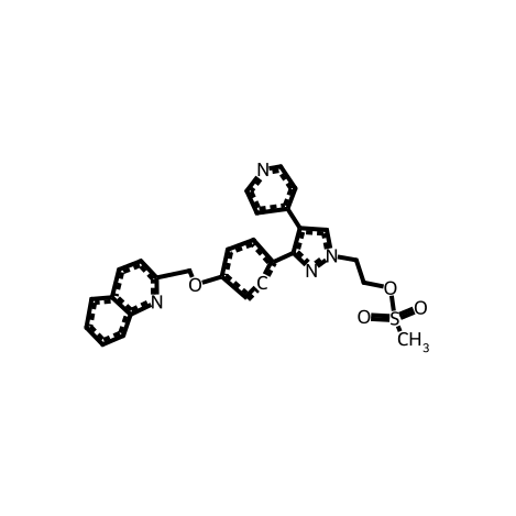 CS(=O)(=O)OCCn1cc(-c2ccncc2)c(-c2ccc(OCc3ccc4ccccc4n3)cc2)n1